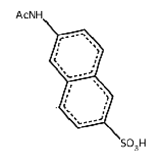 CC(=O)Nc1ccc2cc(S(=O)(=O)O)c[c]c2c1